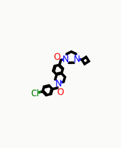 O=C(c1ccc2c(c1)CCN(C(=O)c1ccc(Cl)cc1)C2)N1CCCN(C2CCC2)CC1